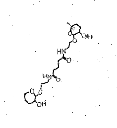 C[C@H]1CCC(O)C(OCCNC(=O)CCCC(=O)NCCOC2OCCCC2O)O1